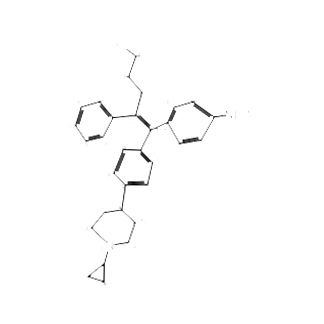 CC(=O)Nc1ccc(/C(=C(\CCCO)c2ccccc2)c2ccc(C3CCN(C4CC4)CC3)cc2)cc1